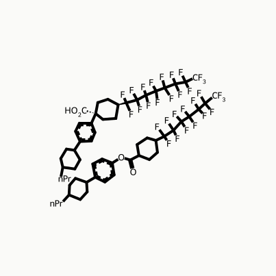 CCCC1CCC(c2ccc(OC(=O)C3CCC(C(F)(F)C(F)(F)C(F)(F)C(F)(F)C(F)(F)C(F)(F)C(F)(F)F)CC3)cc2)CC1.CCCC1CCC(c2ccc([C@]3(C(=O)O)CC[C@H](C(F)(F)C(F)(F)C(F)(F)C(F)(F)C(F)(F)C(F)(F)C(F)(F)C(F)(F)F)CC3)cc2)CC1